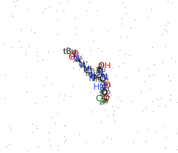 CC(C)(C)OC(=O)N1CC(N2CC(N3CCC(n4cc(-c5cc(C(=O)Nc6ccc(OC(F)(F)Cl)cc6)cnc5N5CC[C@@H](O)C5)cn4)CC3)C2)C1